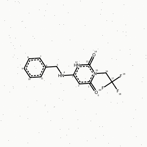 O=c1cc(NCc2ccccc2)[nH]c(=O)n1CC(F)(F)F